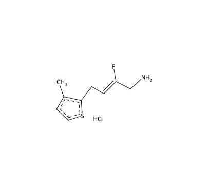 Cc1ccsc1CC=C(F)CN.Cl